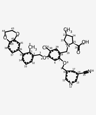 Cc1c(COc2cc(OCc3cncc(C#N)c3)c(CN3C[C@@H](C)C[C@H]3C(=O)O)cc2Cl)cccc1-c1ccc2c(c1)OCCO2